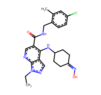 CCn1ncc2c(NC3CCC(=NO)CC3)c(C(=O)NCc3ccc(Cl)cc3C)cnc21